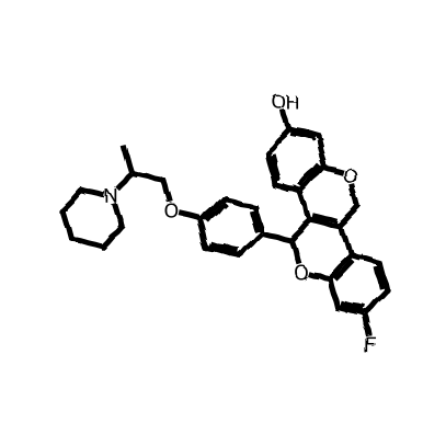 CC(COc1ccc(C2Oc3cc(F)ccc3C3=C2c2ccc(O)cc2OC3)cc1)N1CCCCC1